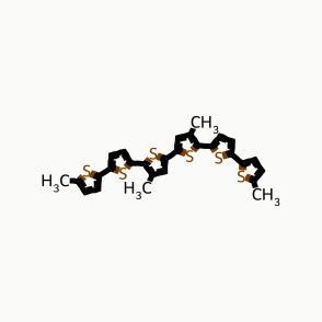 Cc1ccc(-c2ccc(-c3sc(-c4cc(C)c(-c5ccc(-c6ccc(C)s6)s5)s4)cc3C)s2)s1